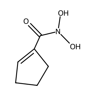 O=C(C1=CCCC1)N(O)O